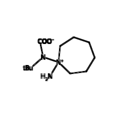 CC(C)(C)N(C(=O)[O-])[N+]1(N)CCCCCC1